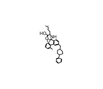 CSCCC(NC(=O)c1ccc(CC2CCC(c3ccccc3)CC2)cc1-c1ccccc1C)C(=O)O